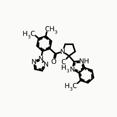 Cc1cc(C(=O)N2CCCC2(C)c2nc3c(C)cccc3[nH]2)c(-n2nccn2)cc1C